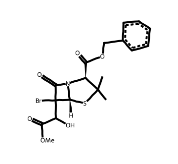 COC(=O)C(O)C1(Br)C(=O)N2[C@@H](C(=O)OCc3ccccc3)C(C)(C)S[C@@H]21